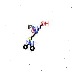 CC(C)NC(=O)N(CCCCCO)CCCCCSc1nc(-c2ccccc2)c(-c2ccccc2)[nH]1